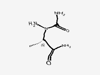 C[C@@H](C(N)=O)N(N)C(N)=O